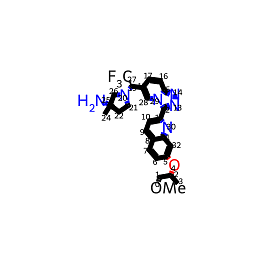 COCC(C)Oc1ccc2ccc(-c3nnc4ccc([C@H](N5CCC(C)(N)C5)C(F)(F)F)cn34)nc2c1